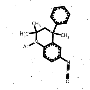 CC(=O)N1c2ccc(N=C=O)cc2C(C)(c2ccccc2)CC1(C)C